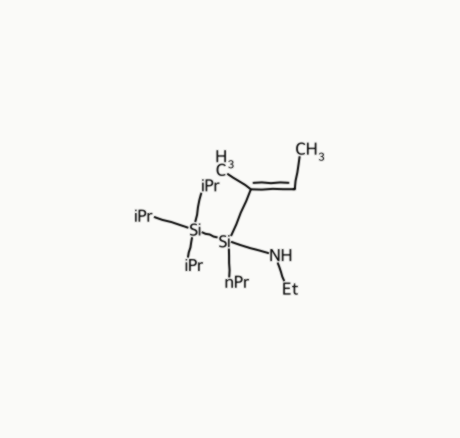 C/C=C(\C)[Si](CCC)(NCC)[Si](C(C)C)(C(C)C)C(C)C